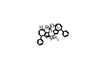 CC1=CC2=C(C=CC=CC2c2ccccc2)[CH]1[Zr]([CH]1C(C)=CC2=C1C=CC=CC2c1ccccc1)=[Si](C)C